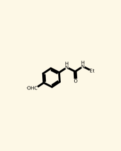 CCNC(=O)Nc1ccc([C]=O)cc1